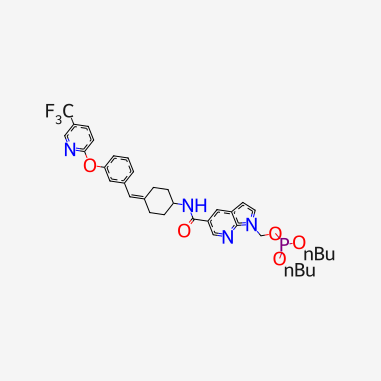 CCCCOP(OCCCC)OCn1ccc2cc(C(=O)NC3CCC(=Cc4cccc(Oc5ccc(C(F)(F)F)cn5)c4)CC3)cnc21